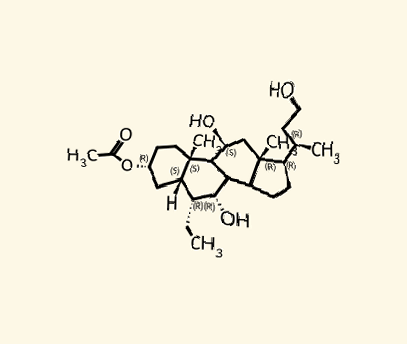 CC[C@H]1[C@@H](O)C2C3CC[C@H]([C@H](C)CCO)[C@@]3(C)C[C@H](O)C2[C@@]2(C)CC[C@@H](OC(C)=O)C[C@@H]12